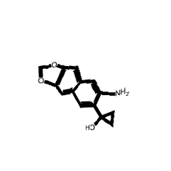 Nc1cc2cc3c(cc2cc1C1(O)CC1)OCO3